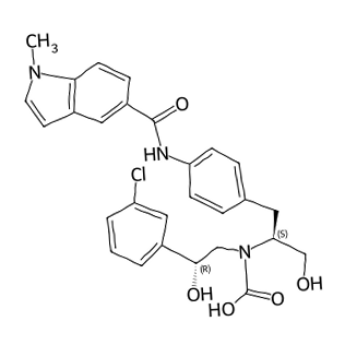 Cn1ccc2cc(C(=O)Nc3ccc(C[C@@H](CO)N(C[C@H](O)c4cccc(Cl)c4)C(=O)O)cc3)ccc21